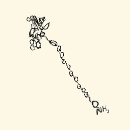 COC(=O)C(Cc1ccc(NC(=O)c2c(Cl)cccc2Cl)cc1)NC(=O)C1(CCNC(=O)CCOCCOCCOCCOCCOCCOCCOCCOCCOCCOCCOCCOCCN)CCCC1